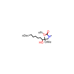 CCCCCCCCCCCCCCCC(O)C(C)(CN(C)C(=O)OCCC)OC